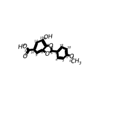 COc1ccc(C2Oc3cc(C(=O)O)cc(O)c3O2)cc1